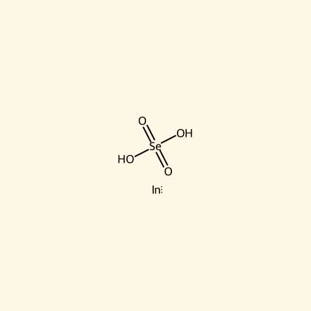 O=[Se](=O)(O)O.[In]